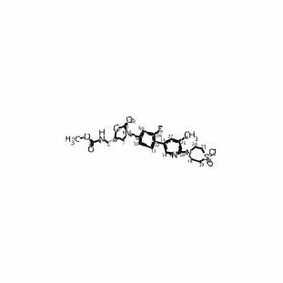 COC(=O)NC[C@H]1CN(c2ccc(-c3cnc(N4CCS(=O)(=O)CC4)c(C)c3)c(F)c2)C(=O)O1